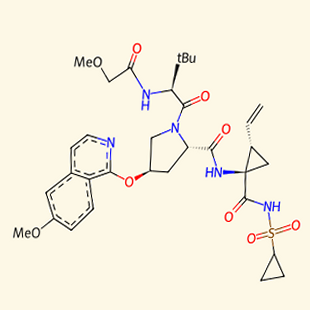 C=C[C@@H]1C[C@]1(NC(=O)[C@@H]1C[C@@H](Oc2nccc3cc(OC)ccc23)CN1C(=O)[C@@H](NC(=O)COC)C(C)(C)C)C(=O)NS(=O)(=O)C1CC1